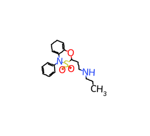 CCCNCCC1OC2=CCCC=C2N(c2ccccc2)S1(=O)=O